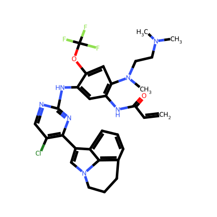 C=CC(=O)Nc1cc(Nc2ncc(Cl)c(-c3cn4c5c(cccc35)CCC4)n2)c(OC(F)(F)F)cc1N(C)CCN(C)C